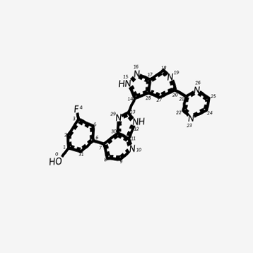 Oc1cc(F)cc(-c2ccnc3[nH]c(-c4[nH]nc5cnc(-c6cnccn6)cc45)nc23)c1